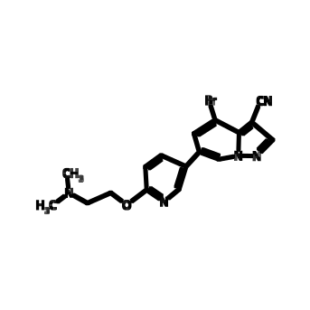 CN(C)CCOc1ccc(-c2cc(Br)c3c(C#N)cnn3c2)cn1